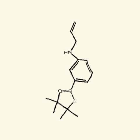 C=CCNc1cccc(B2OC(C)(C)C(C)(C)O2)c1